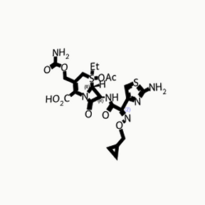 CCS1(OC(C)=O)CC(COC(N)=O)=C(C(=O)O)N2C(=O)[C@@H](NC(=O)/C(=N\OCC3CC3)c3csc(N)n3)[C@H]21